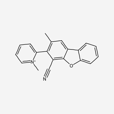 Cc1cc2c(oc3ccccc32)c(C#N)c1-c1cccc[n+]1C